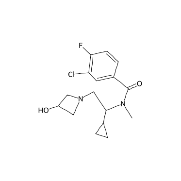 CN(C(=O)c1ccc(F)c(Cl)c1)C(CN1CC(O)C1)C1CC1